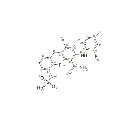 CS(=O)(=O)Nc1cccc(Cc2cc(C(N)=O)c(Nc3ccc(I)cc3F)c(F)c2F)c1F